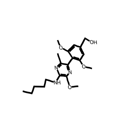 CCCCCNc1nc(C)c(-c2c(OC)cc(CO)cc2OC)nc1OC